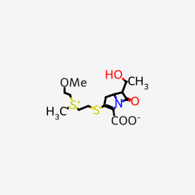 COCC[S+](C)CCSC1=C(C(=O)[O-])N2C(=O)C([C@@H](C)O)C2C1